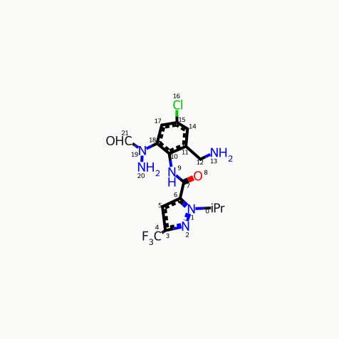 CC(C)n1nc(C(F)(F)F)cc1C(=O)Nc1c(CN)cc(Cl)cc1N(N)C=O